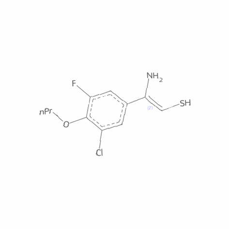 CCCOc1c(F)cc(/C(N)=C/S)cc1Cl